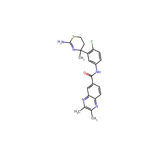 Cc1nc2ccc(C(=O)Nc3ccc(F)c(C4(C)CCSC(N)=N4)c3)cc2nc1C